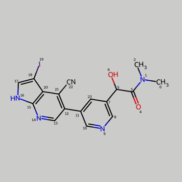 CN(C)C(=O)C(O)c1cncc(-c2cnc3[nH]cc(I)c3c2C#N)c1